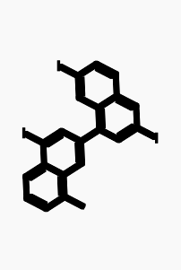 Cc1cccc2c(I)cc(-c3cc(I)cc4ccc(I)cc34)cc12